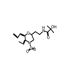 C=C/C=C1/OC(CCNC(=O)C(C)(C)O)CN([SH](=O)=O)/C1=C/C